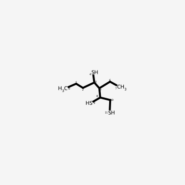 CCCC(S)C(CC)C(S)CS